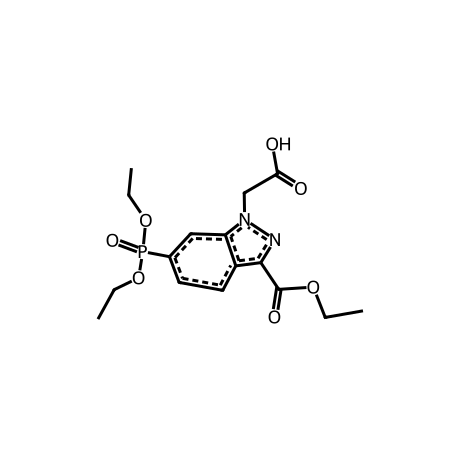 CCOC(=O)c1nn(CC(=O)O)c2cc(P(=O)(OCC)OCC)ccc12